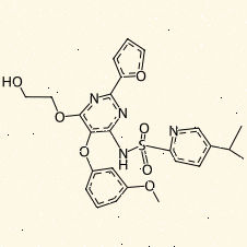 COc1cccc(Oc2c(NS(=O)(=O)c3ccc(C(C)C)cn3)nc(-c3ccco3)nc2OCCO)c1